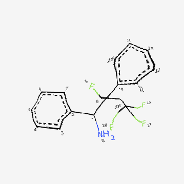 NC(c1ccccc1)C(F)(c1ccccc1)C(F)(F)F